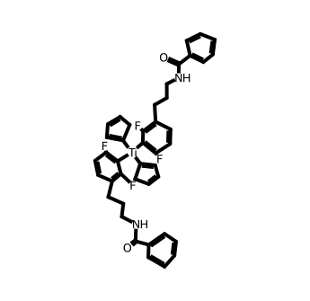 O=C(NCCCc1ccc(F)[c]([Ti]([C]2=CC=CC2)([C]2=CC=CC2)[c]2c(F)ccc(CCCNC(=O)c3ccccc3)c2F)c1F)c1ccccc1